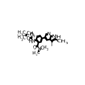 Cc1[nH]c2ncc(-c3ccc(NC(=O)OC(C)(C)C)c(C(=O)N(C)C)c3)cc2c1I